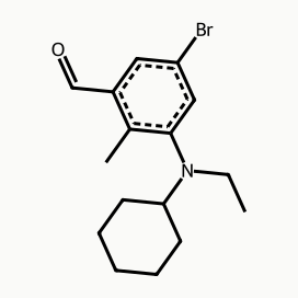 CCN(c1cc(Br)cc(C=O)c1C)C1CCCCC1